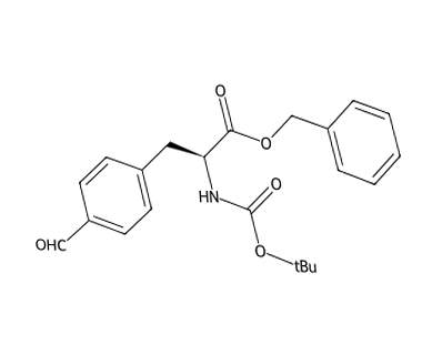 CC(C)(C)OC(=O)N[C@@H](Cc1ccc(C=O)cc1)C(=O)OCc1ccccc1